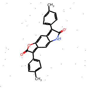 Cc1ccc(C2=c3cc4c(cc3NC2=O)=C(c2ccc(C)cc2)C(=O)O4)cc1